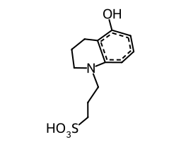 O=S(=O)(O)CCCN1CCCc2c(O)cccc21